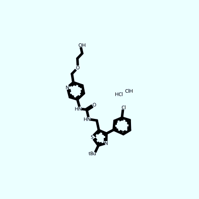 CC(C)(C)c1nc(-c2cccc(Cl)c2)c(CNC(=O)Nc2ccc(COCCO)nc2)s1.Cl.Cl